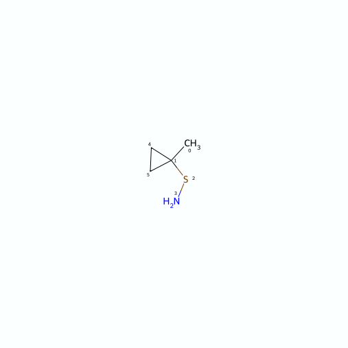 CC1(SN)CC1